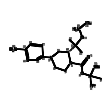 CCCC(C)(OC(=O)N1CCN(c2ccc([N+](=O)[O-])nc2)C[C@@H]1C(C)(C)O[SiH2]C(C)(C)C)C(C)(C)C